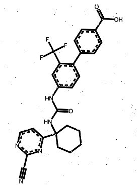 N#Cc1nccc(C2(NC(=O)Nc3ccc(-c4ccc(C(=O)O)cc4)c(C(F)(F)F)c3)CCCCC2)n1